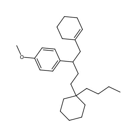 CCCCC1(CCC(CC2=CCCCC2)c2ccc(OC)cc2)CCCCC1